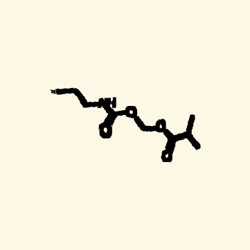 [CH2]CCNC(=O)OCOC(=O)C(C)C